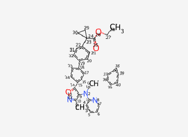 C#CN(c1ccccn1)c1c(C)noc1-c1ccc(-c2ccc(C3(C(=O)OCC)CC3)cc2)cc1.c1ccccc1